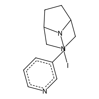 IN1CC2CCC(C1)N2Cc1cccnc1